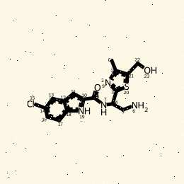 Cc1nc(C(CN)NC(=O)c2cc3cc(Cl)ccc3[nH]2)sc1CO